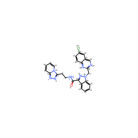 O=C(NCCc1nnc2ccccn12)c1nn(Cc2ncc3cc(Cl)ccc3n2)c2ccccc12